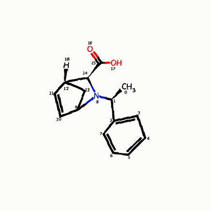 C[C@@H](c1ccccc1)N1C2C=C[C@@H](C2)[C@H]1C(=O)O